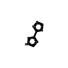 c1nc(-c2nncs2)n[nH]1